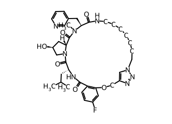 CC(C)C[C@H]1NC(=O)c2ccc(F)cc2OCc2cn(nn2)CCCCCCCNC(=O)[C@H](Cc2cccnc2)N(C)C(=O)[C@H]2C[C@H](O)CN2C1=O